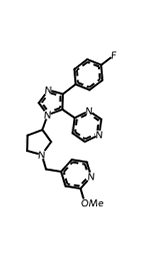 COc1cc(CN2CCC(n3cnc(-c4ccc(F)cc4)c3-c3ccncn3)C2)ccn1